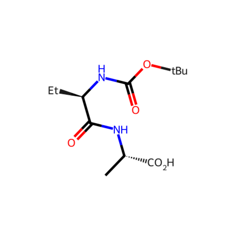 CC[C@@H](NC(=O)OC(C)(C)C)C(=O)N[C@@H](C)C(=O)O